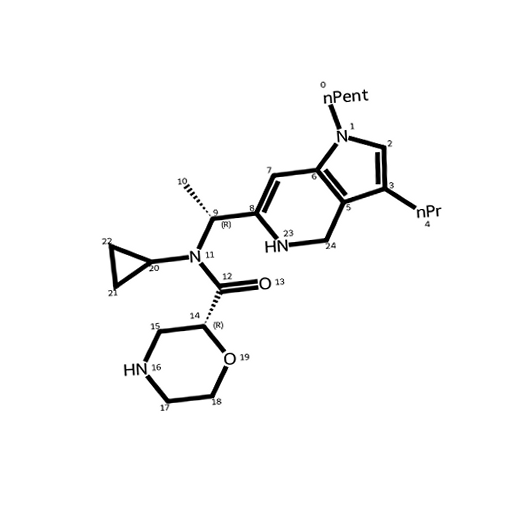 CCCCCn1cc(CCC)c2c1C=C([C@@H](C)N(C(=O)[C@H]1CNCCO1)C1CC1)NC2